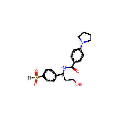 CCS(=O)(=O)c1ccc([C@H](CCO)NC(=O)c2ccc(N3CCCC3)cc2)cc1